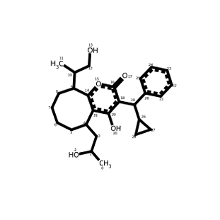 CC(O)CC1CCCCC(C(C)CO)c2oc(=O)c(C(c3ccccc3)C3CC3)c(O)c21